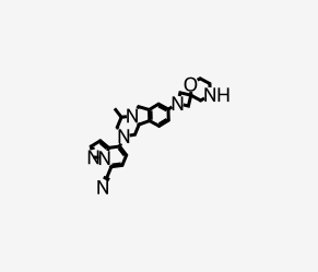 CC1CN(c2ccc(C#N)n3nccc23)CC2c3ccc(N4CC5(CNCCO5)C4)cc3CN12